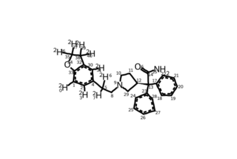 [2H]c1c([2H])c(C([2H])([2H])CN2CC[C@@H](C(C(N)=O)(c3ccccc3)c3ccccc3)C2)c([2H])c2c1OC([2H])([2H])C2([2H])[2H]